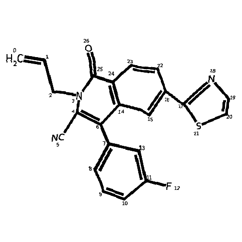 C=CCn1c(C#N)c(-c2cccc(F)c2)c2cc(-c3nccs3)ccc2c1=O